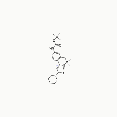 CC1(C)Cc2cc(NC(=O)OC(C)(C)C)ccc2/C(=C/C(=O)C2CCCCC2)N1